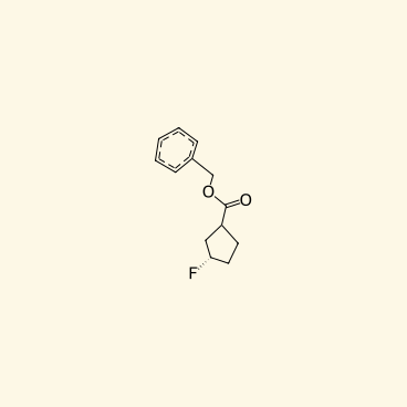 O=C(OCc1ccccc1)C1CC[C@H](F)C1